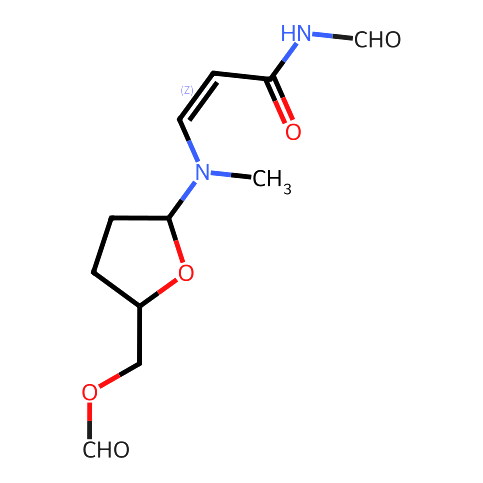 CN(/C=C\C(=O)NC=O)C1CCC(COC=O)O1